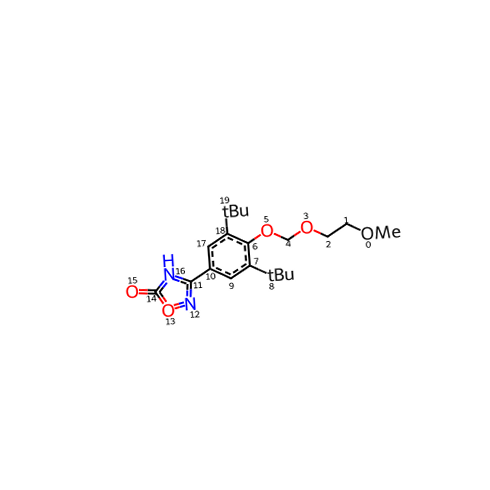 COCCOCOc1c(C(C)(C)C)cc(-c2noc(=O)[nH]2)cc1C(C)(C)C